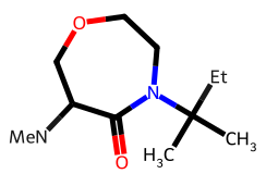 CCC(C)(C)N1CCOCC(NC)C1=O